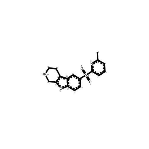 Cc1cccc(S(=O)(=O)c2ccc3oc4c(c3c2)CCNC4)n1